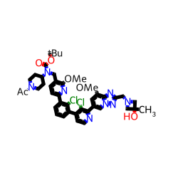 COc1nc(-c2cccc(-c3ccnc(-c4cc(OC)c5nc(CN6CC(C)(O)C6)nn5c4)c3Cl)c2Cl)ccc1CN(C(=O)OC(C)(C)C)C1CCN(C(C)=O)CC1